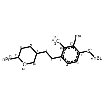 CCCCSc1ccc(CCC2CCC(CCC)OC2)c(C(F)(F)F)c1F